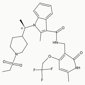 CCS(=O)(=O)N1CCC([C@@H](C)n2c(C)c(C(=O)NCc3c(OCC(F)(F)F)cc(C)[nH]c3=O)c3ccccc32)CC1